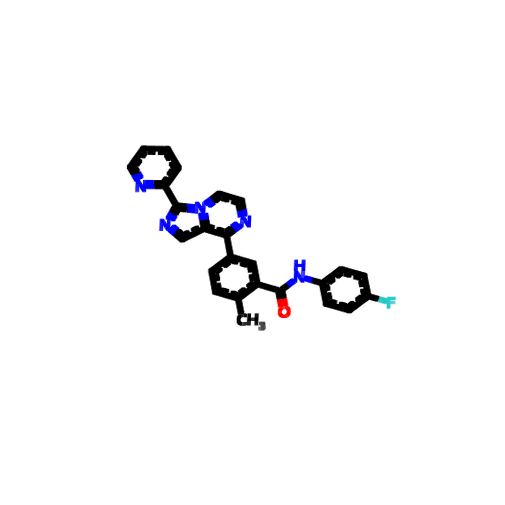 Cc1ccc(-c2nccn3c(-c4ccccn4)ncc23)cc1C(=O)Nc1ccc(F)cc1